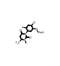 CCCC(C)Oc1cc(-n2c(=O)cc(C(F)(F)F)n(C)c2=O)c(F)cc1Cl